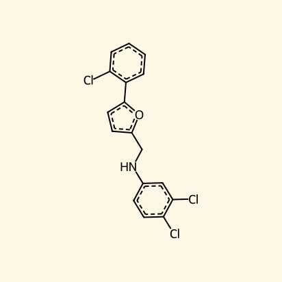 Clc1ccc(NCc2ccc(-c3ccccc3Cl)o2)cc1Cl